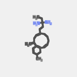 C=C1C/C=C(/CCC(N)(N)CC)CCC/C=C\C2=C1C=CC(C)C2